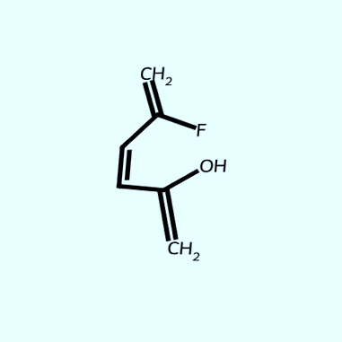 C=C(O)/C=C\C(=C)F